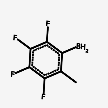 Bc1c(C)c(F)c(F)c(F)c1F